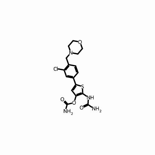 NC(=O)Nc1sc(-c2ccc(CN3CCOCC3)c(Cl)c2)cc1OC(N)=O